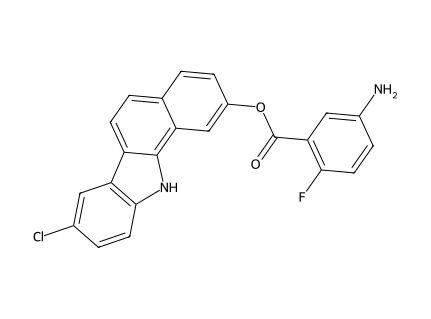 Nc1ccc(F)c(C(=O)Oc2ccc3ccc4c5cc(Cl)ccc5[nH]c4c3c2)c1